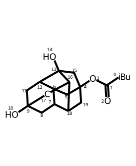 CCC(C)C(=O)OC12CC3C4CC5(O)CC3C(O)(C1)C(C5)C4C2